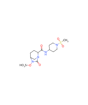 CS(=O)(=O)N1CCC(NC(=O)C2CCC3CN2C(=O)N3OS(=O)(=O)O)CC1